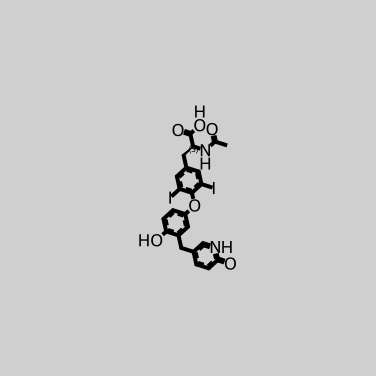 CC(=O)N[C@@H](Cc1cc(I)c(Oc2ccc(O)c(Cc3ccc(=O)[nH]c3)c2)c(I)c1)C(=O)O